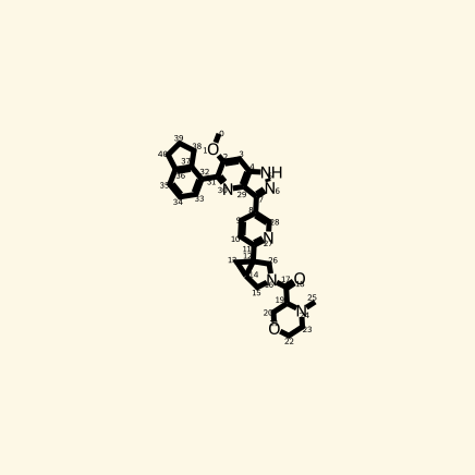 COc1cc2[nH]nc(-c3ccc(C45CC4CN(C(=O)C4COCCN4C)C5)nc3)c2nc1-c1cccc2c1CCC2